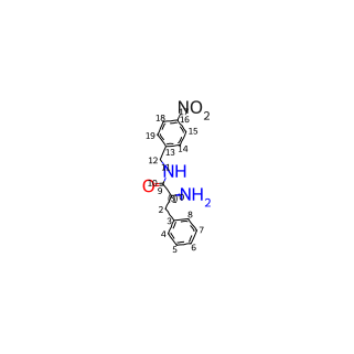 N[C@@H](Cc1ccccc1)C(=O)NCc1ccc([N+](=O)[O-])cc1